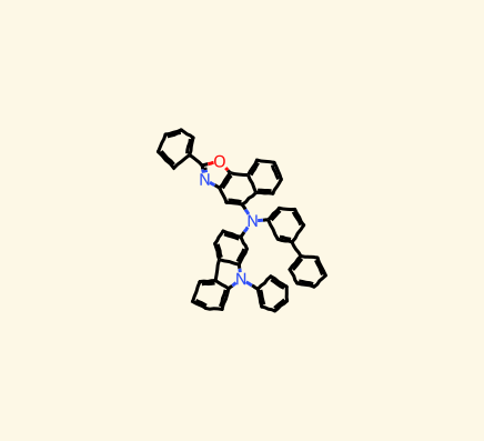 c1ccc(-c2cccc(N(c3ccc4c5ccccc5n(-c5ccccc5)c4c3)c3cc4nc(-c5ccccc5)oc4c4ccccc34)c2)cc1